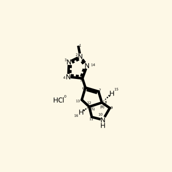 Cl.Cn1nnc(C2=C[C@H]3CNC[C@H]3C2)n1